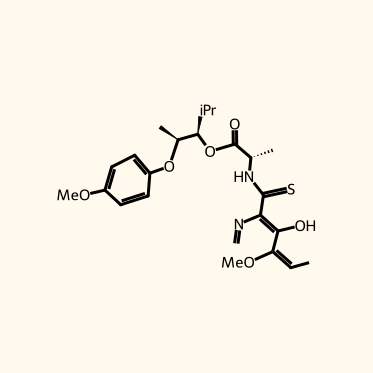 C=N/C(C(=S)N[C@@H](C)C(=O)O[C@H](C(C)C)[C@H](C)Oc1ccc(OC)cc1)=C(O)\C(=C/C)OC